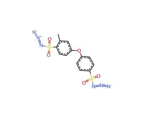 Cc1cc(Oc2ccc(S(=O)(=O)N=[N+]=[N-])cc2)ccc1S(=O)(=O)N=[N+]=[N-]